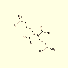 CC(C)CCCC(C(=O)O)=C(CCC(C)C)C(=O)O